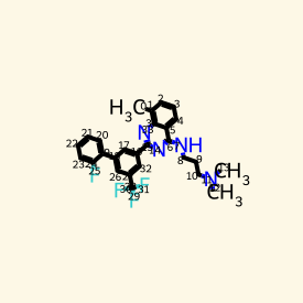 Cc1cccc2c(NCCCN(C)C)nc(-c3cc(-c4ccccc4F)cc(C(F)(F)F)c3)nc12